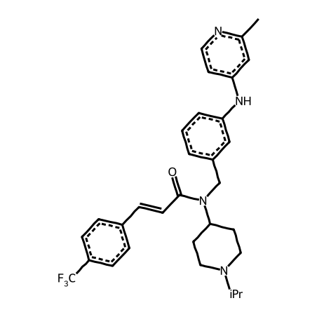 Cc1cc(Nc2cccc(CN(C(=O)/C=C/c3ccc(C(F)(F)F)cc3)C3CCN(C(C)C)CC3)c2)ccn1